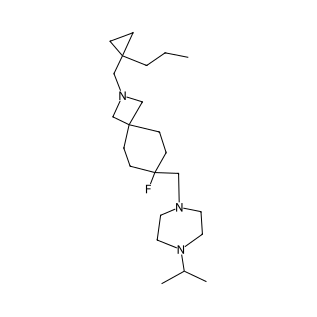 CCCC1(CN2CC3(CCC(F)(CN4CCN(C(C)C)CC4)CC3)C2)CC1